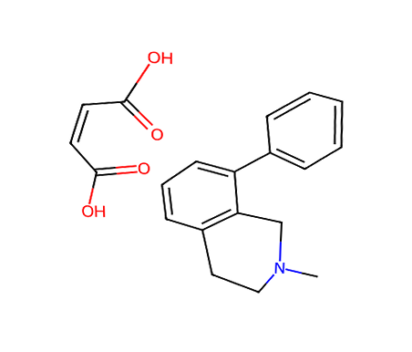 CN1CCc2cccc(-c3ccccc3)c2C1.O=C(O)/C=C\C(=O)O